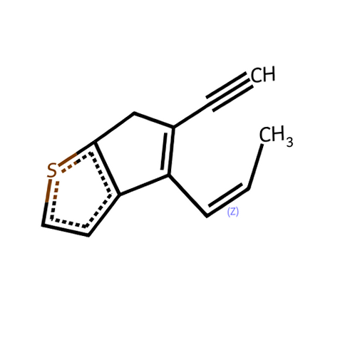 C#CC1=C(/C=C\C)c2ccsc2C1